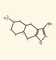 CCCCc1n[nH]c2c1CC1CN(C)CCC1C2